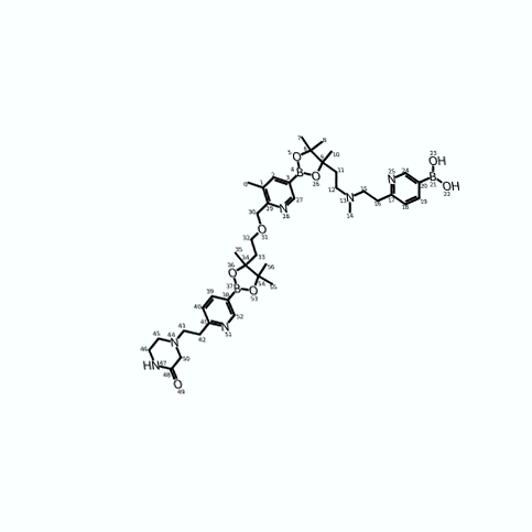 Cc1cc(B2OC(C)(C)C(C)(CCN(C)CCc3ccc(B(O)O)cn3)O2)cnc1COCCC1(C)OB(c2ccc(CCN3CCNC(=O)C3)nc2)OC1(C)C